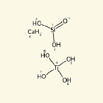 O=[Si](O)O.[CaH2].[OH][Ti]([OH])([OH])[OH]